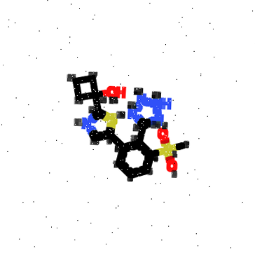 CS(=O)(=O)c1cccc(-c2cnc(C3(O)CCC3)s2)c1-c1nn[nH]n1